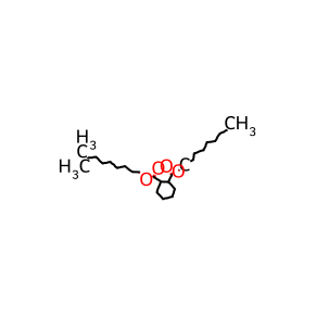 CCCCCCCCCOC(=O)C1CCCCC1C(=O)OCCCCCCCC(C)C